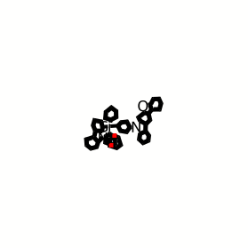 c1ccc(-n2c3ccccc3c3cccc([Si](c4ccccc4)(c4ccccc4)c4ccc(-n5c6ccccc6c6cc7c(cc65)oc5ccccc57)cc4)c32)cc1